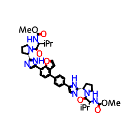 COC(=O)N[C@H](C(=O)N1CCC[C@H]1c1ncc(-c2ccc(-c3ccc(-c4cnc([C@@H]5CCCN5C(=O)[C@@H](NC(=O)OC)C(C)C)[nH]4)c4occc34)cc2)[nH]1)C(C)C